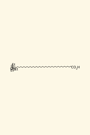 CCO[Si](CCCCCCCCCCCCCCCCCCCCCCCCCCCCCCCCCCCCCC(=O)O)(OCC)OCC